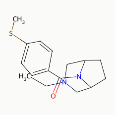 CCN1CC2CCC(C1)N2C(=O)c1ccc(SC)cc1